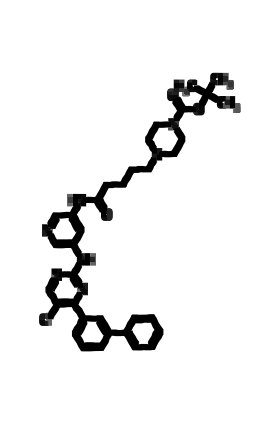 CC(C)(C)OC(=O)N1CCN(CCCCC(=O)Nc2cncc(Nc3ncc(Cl)c(-c4cccc(-c5ccccc5)c4)n3)c2)CC1